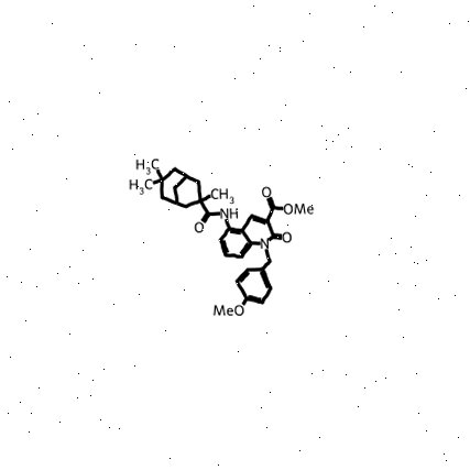 COC(=O)c1cc2c(NC(=O)C3(C)CC4CC(CC(C)(C)C4)C3)cccc2n(Cc2ccc(OC)cc2)c1=O